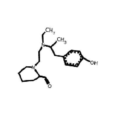 CCN(CCN1CCCCC1C=O)C(C)Cc1ccc(O)cc1